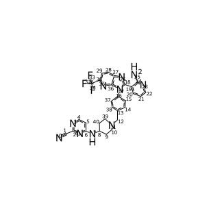 N#Cc1nccc(NC2CCN(Cc3ccc(-n4c(-c5cccnc5N)nc5ccc(C(F)(F)F)nc54)cc3)CC2)n1